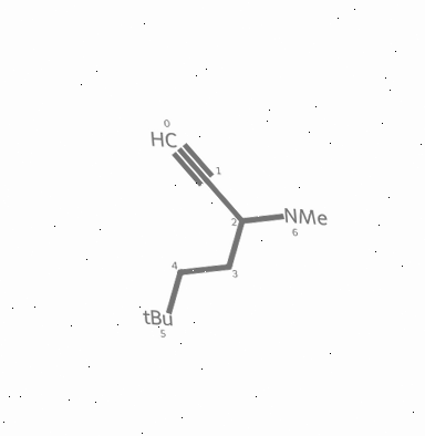 C#CC(CCC(C)(C)C)NC